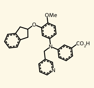 COc1ccc(N(Cc2cccnc2)c2cccc(C(=O)O)c2)cc1OC1Cc2ccccc2C1